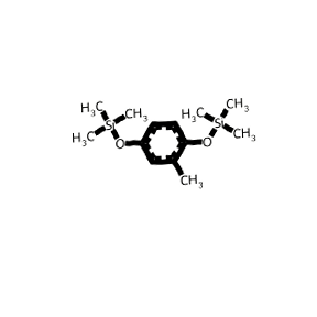 Cc1cc(O[Si](C)(C)C)ccc1O[Si](C)(C)C